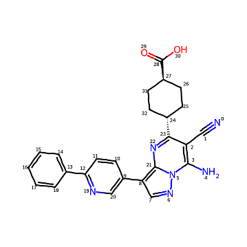 N#Cc1c(N)n2ncc(-c3ccc(-c4ccccc4)nc3)c2nc1[C@H]1CC[C@H](C(=O)O)CC1